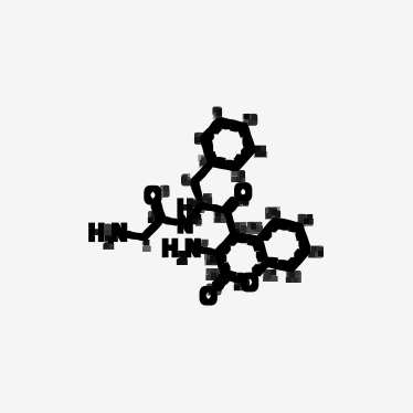 NCC(=O)N[C@@H](Cc1ccccc1)C(=O)c1c(N)c(=O)oc2ccccc12